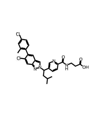 Cc1cc(Cl)ccc1-c1cc2cn(C(CC(C)C)c3ccc(C(=O)NCCC(=O)O)nc3)nc2cc1Cl